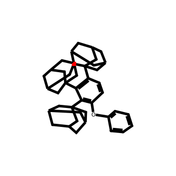 [c]1ccccc1Oc1ccc(C23CC4CC(CC(C4)C2)C3)c(C23CC4CC(CC(C4)C2)C3)c1C12CC3CC(CC(C3)C1)C2